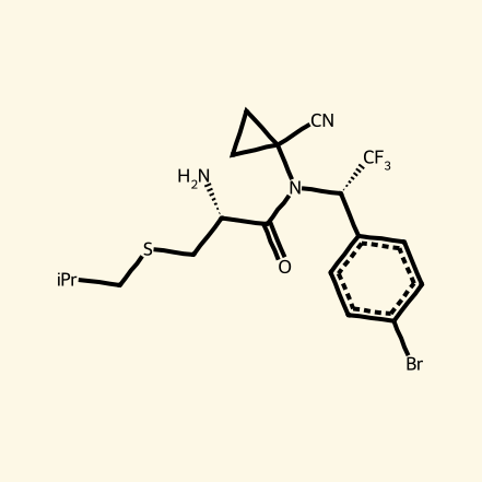 CC(C)CSC[C@H](N)C(=O)N([C@@H](c1ccc(Br)cc1)C(F)(F)F)C1(C#N)CC1